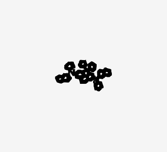 c1ccc(N(c2ccc3ccccc3c2)c2cc3c4c(ccc5cc(N(c6ccccc6)c6ccc7ccccc7c6)cc(c54)C3(c3ccccc3)c3ccccc3)c2)cc1